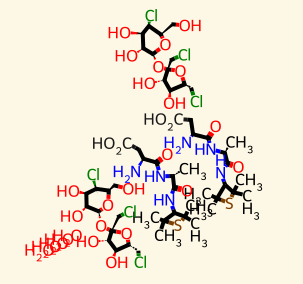 C[C@@H](NC(=O)[C@@H](N)CC(=O)O)C(=O)NC1C(C)(C)SC1(C)C.C[C@@H](NC(=O)[C@@H](N)CC(=O)O)C(=O)NC1C(C)(C)SC1(C)C.O.O.O.O.O.OC[C@H]1O[C@H](O[C@]2(CCl)O[C@H](CCl)[C@@H](O)[C@@H]2O)[C@H](O)[C@@H](O)[C@H]1Cl.OC[C@H]1O[C@H](O[C@]2(CCl)O[C@H](CCl)[C@@H](O)[C@@H]2O)[C@H](O)[C@@H](O)[C@H]1Cl